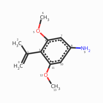 C=C(C)c1c(OC)cc(N)cc1OC